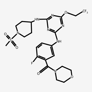 CS(=O)(=O)N1CCC(Nc2nc(Nc3ccc(F)c(C(=O)N4CCOCC4)c3)nc(OCC(F)(F)F)n2)CC1